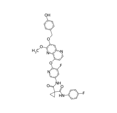 COc1nc2c(Oc3ncc(NC(=O)C4(C(=O)Nc5ccc(F)cc5)CC4)cc3F)ccnc2cc1OCc1ccc(O)cc1